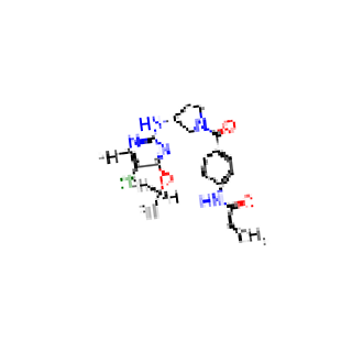 [2H]c1nc(N[C@@H]2CCN(C(=O)c3ccc(NC(=O)C=C)cc3)C2)nc(OC([2H])([2H])[2H])c1Cl